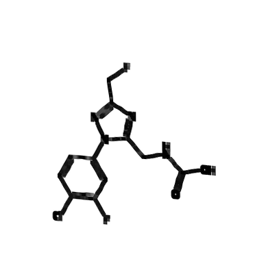 O=C(O)NCc1nc(CF)nn1-c1ccc(Cl)c(F)c1